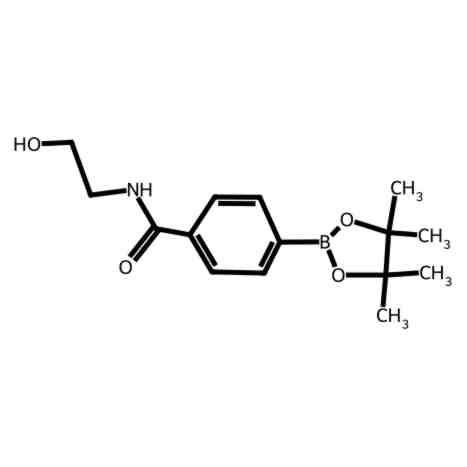 CC1(C)OB(c2ccc(C(=O)NCCO)cc2)OC1(C)C